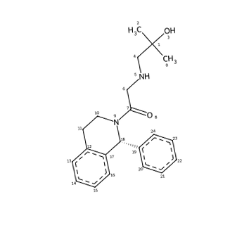 CC(C)(O)CNCC(=O)N1CCc2ccccc2[C@H]1c1ccccc1